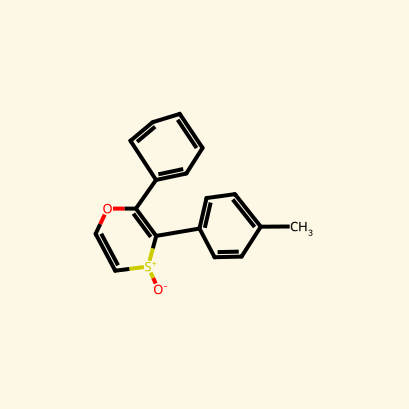 Cc1ccc(C2=C(c3ccccc3)OC=C[S+]2[O-])cc1